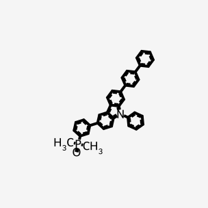 CP(C)(=O)c1cccc(-c2ccc3c(c2)c2ccc(-c4ccc(-c5ccccc5)cc4)cc2n3-c2ccccc2)c1